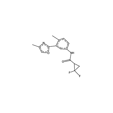 Cc1coc(-c2cc(NC(=O)C3CC3(F)F)ccc2C)n1